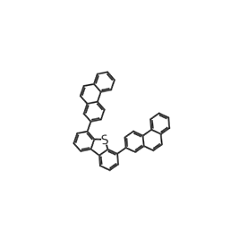 c1ccc2c(c1)ccc1cc(-c3cccc4c3sc3c(-c5ccc6c(ccc7ccccc76)c5)cccc34)ccc12